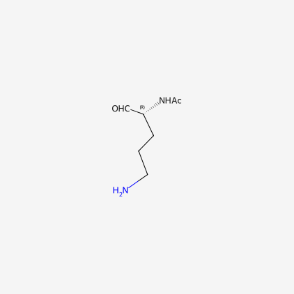 CC(=O)N[C@@H](C=O)CCCN